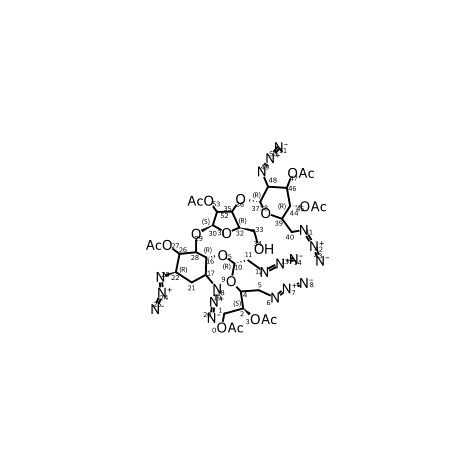 CC(=O)OC[C@H](OC(C)=O)C(CN=[N+]=[N-])O[C@@H](CN=[N+]=[N-])O[C@@H]1C(N=[N+]=[N-])C[C@@H](N=[N+]=[N-])C(OC(C)=O)C1O[C@@H]1O[C@H](CO)C(O[C@H]2OC(CN=[N+]=[N-])[C@@H](OC(C)=O)C(OC(C)=O)C2N=[N+]=[N-])C1OC(C)=O